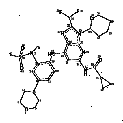 CN(c1cc(C2CCOCC2)ccc1Nc1cc(NC(=O)C2CC2)nc2c1nc(C(F)F)n2C1CCCCO1)S(C)(=O)=O